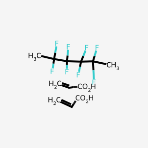 C=CC(=O)O.C=CC(=O)O.CC(F)(F)C(F)(F)C(F)(F)C(C)(F)F